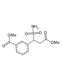 COC(=O)CC(c1cccc(C(=O)OC)c1)S(N)(=O)=O